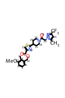 COc1cccc2c1COC(c1csc(C3CCN(C(=O)Cn4nc(C(F)(F)F)cc4C)CC3)n1)OC2